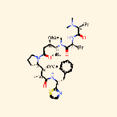 CC[C@H](C)[C@@H]([C@@H](CC(=O)N1CCC[C@H]1[C@H](OC)[C@@H](C)C(=O)N[C@H](Cc1ccccc1)c1nccs1)OC)N(C)C(=O)[C@@H](NC(=O)[C@H](C(C)C)N(C)C)C(C)C